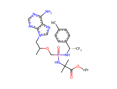 CCCOC(=O)C(C)(C)NP(=O)(COC(C)Cn1cnc2c(N)ncnc21)N[C@H](c1ccc(C#N)cc1)C(F)(F)F